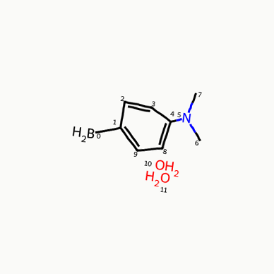 Bc1ccc(N(C)C)cc1.O.O